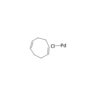 C1=CCCC=CCC1.[Cl][Pd]